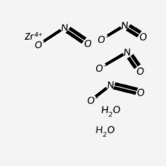 O.O.O=N[O-].O=N[O-].O=N[O-].O=N[O-].[Zr+4]